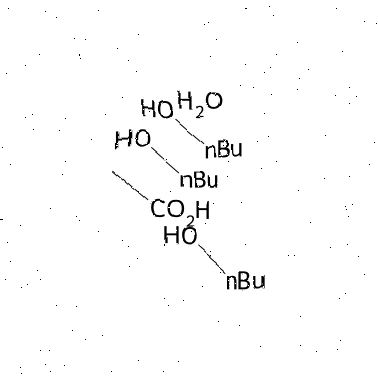 CC(=O)O.CCCCO.CCCCO.CCCCO.O